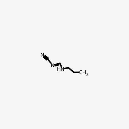 CCCNC=NC#N